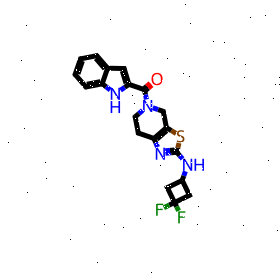 O=C(c1cc2ccccc2[nH]1)N1CCc2nc(NC3CC(F)(F)C3)sc2C1